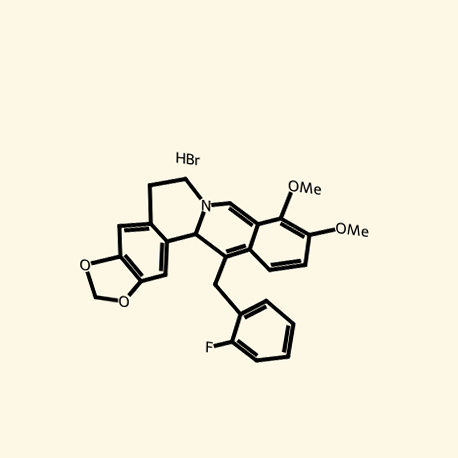 Br.COc1ccc2c(c1OC)=CN1CCc3cc4c(cc3C1C=2Cc1ccccc1F)OCO4